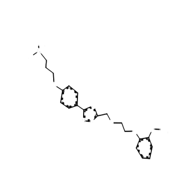 COc1ccccc1OCCSCc1nnc(-c2ccc(OCCCN(C)C)cc2)o1